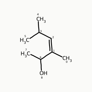 CC(=CC(C)C)C(C)O